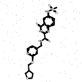 CS(=O)(=O)Nc1ccc2nc(C(=O)NCc3ccnc(OCC4CCOC4)c3)[nH]c(=O)c2c1